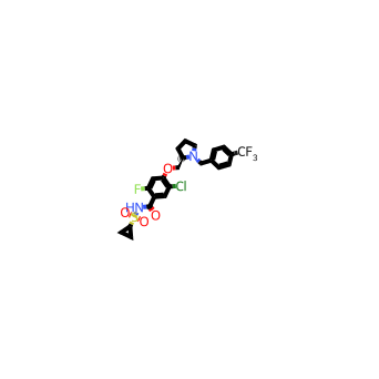 O=C(NS(=O)(=O)C1CC1)c1cc(Cl)c(OC[C@H]2CCCN2Cc2ccc(C(F)(F)F)cc2)cc1F